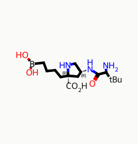 CC(C)(C)C(N)C(=O)N[C@H]1CN[C@@](CCCCB(O)O)(C(=O)O)C1